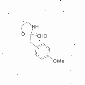 COc1ccc(CC2(C=O)NCCO2)cc1